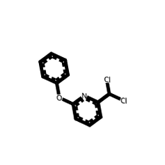 ClC(Cl)c1cccc(Oc2ccccc2)n1